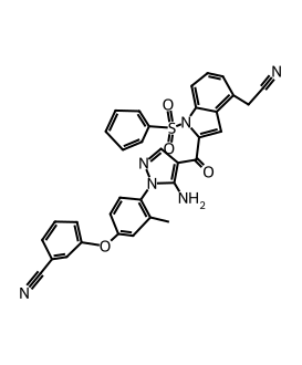 Cc1cc(Oc2cccc(C#N)c2)ccc1-n1ncc(C(=O)c2cc3c(CC#N)cccc3n2S(=O)(=O)c2ccccc2)c1N